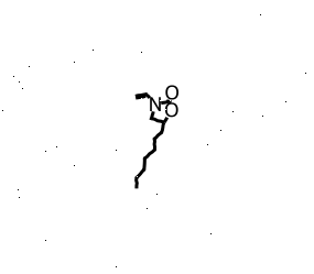 C=CN1CC(CCCCCCC)OC1=O